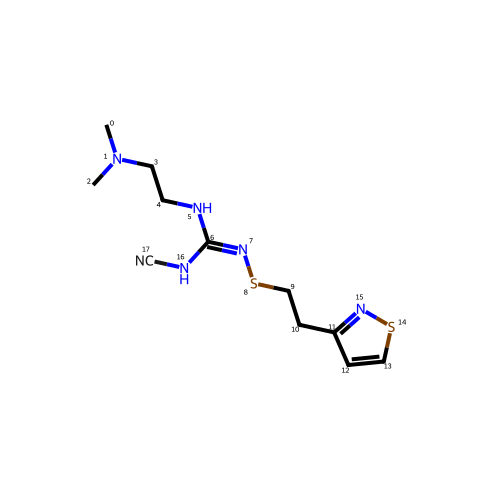 CN(C)CCNC(=NSCCc1ccsn1)NC#N